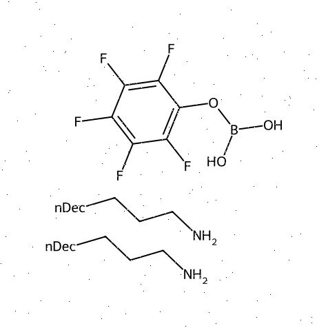 CCCCCCCCCCCCCN.CCCCCCCCCCCCCN.OB(O)Oc1c(F)c(F)c(F)c(F)c1F